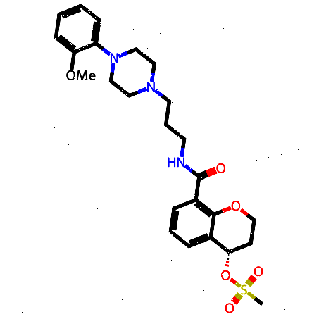 COc1ccccc1N1CCN(CCCNC(=O)c2cccc3c2OCC[C@@H]3OS(C)(=O)=O)CC1